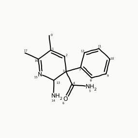 CC1=CC(C(N)=O)(c2ccccc2)C(N)N=C1C